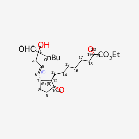 CCCCC(O)(C=O)C/C=C/[C@H]1CCC(=O)[C@@H]1CCCCCCC(=O)C(=O)OCC